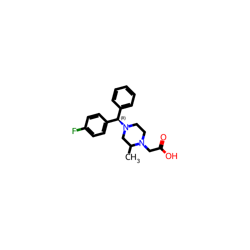 CC1CN([C@H](c2ccccc2)c2ccc(F)cc2)CCN1CC(=O)O